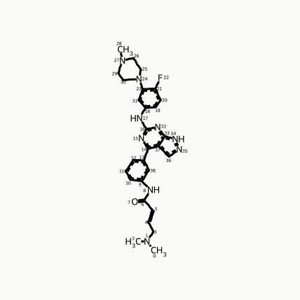 CN(C)C/C=C/C(=O)Nc1cccc(-c2nc(Nc3ccc(F)c(N4CCN(C)CC4)c3)nc3[nH]ncc23)c1